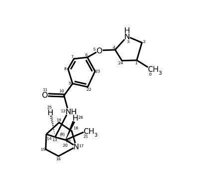 CC1CNC(Oc2ccc(C(=O)N[C@@H]3C4CCN(CC4)[C@H]3C)cc2)C1